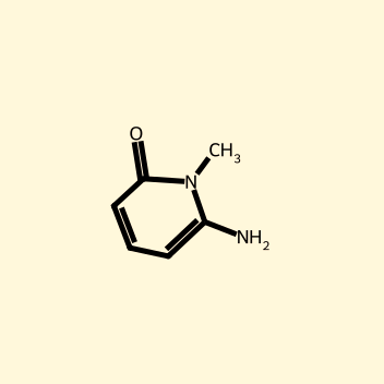 Cn1c(N)cccc1=O